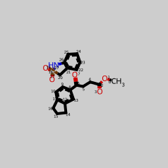 COC(=O)CCC(=O)c1ccc2c(c1)CCC2.O=S1(=O)Cc2ccccc2N1